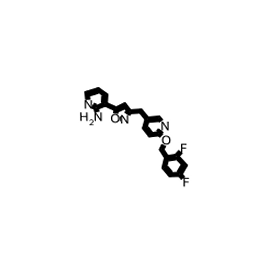 Nc1ncccc1-c1cc(Cc2ccc(OCc3ccc(F)cc3F)nc2)no1